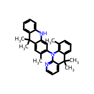 Cc1cc2c(cc1N1c3ncccc3C(C)(C)c3cccc(C)c31)Nc1ccccc1C2(C)C